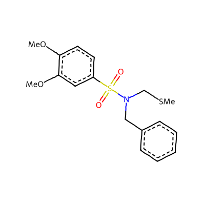 COc1ccc(S(=O)(=O)N(CSC)Cc2ccccc2)cc1OC